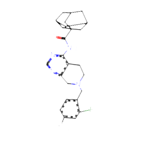 O=C(Nc1ncnc2c1CCN(Cc1ccc(C(F)(F)F)cc1F)C2)C12CC3CC(CC(C3)C1)C2